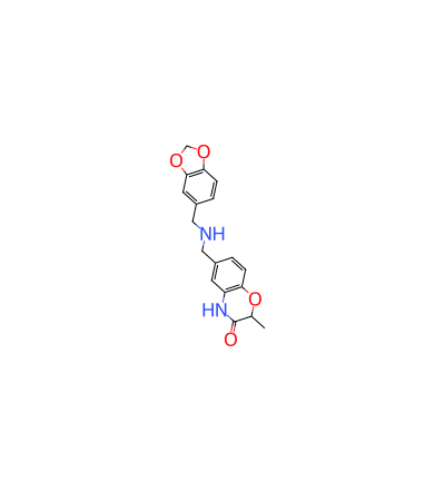 CC1Oc2ccc(CNCc3ccc4c(c3)OCO4)cc2NC1=O